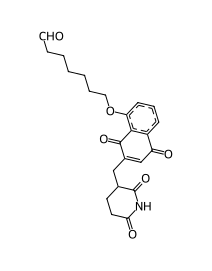 O=CCCCCCCOc1cccc2c1C(=O)C(CC1CCC(=O)NC1=O)=CC2=O